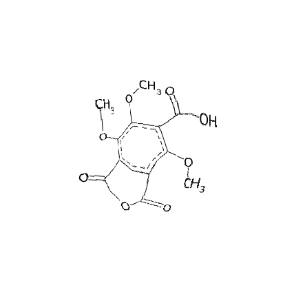 COc1c(OC)c2c(c(OC)c1C(=O)O)C(=O)OC2=O